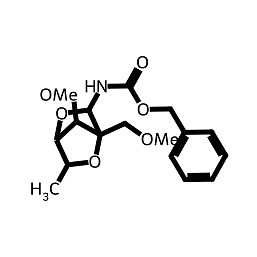 COCC12OC(C)C(OC1NC(=O)OCc1ccccc1)C2OC